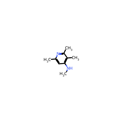 CNc1cc(C)nc(C)c1C